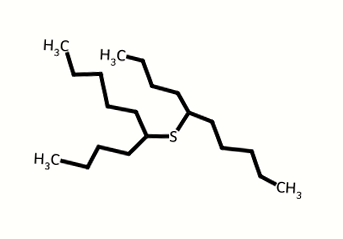 CCCCCC(CCCC)SC(CCCC)CCCCC